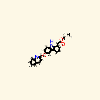 CCOC(=O)CC1CCCc2c1[nH]c1ccc(OCc3ccc4ccccc4n3)cc21